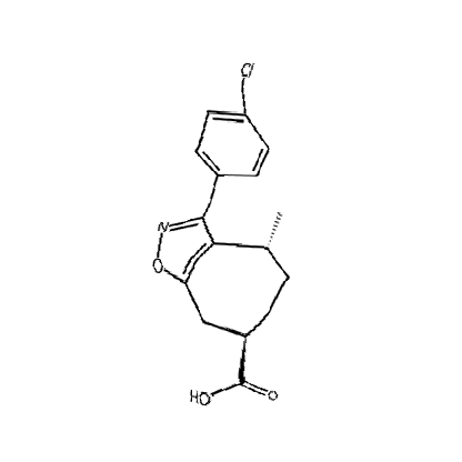 C[C@@H]1CC[C@@H](C(=O)O)Cc2onc(-c3ccc(Cl)cc3)c21